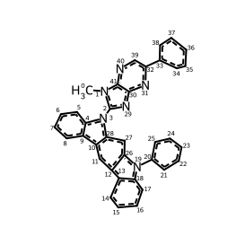 Cn1c(-n2c3ccccc3c3cc4c5ccccc5n(-c5ccccc5)c4cc32)nc2nc(-c3ccccc3)cnc21